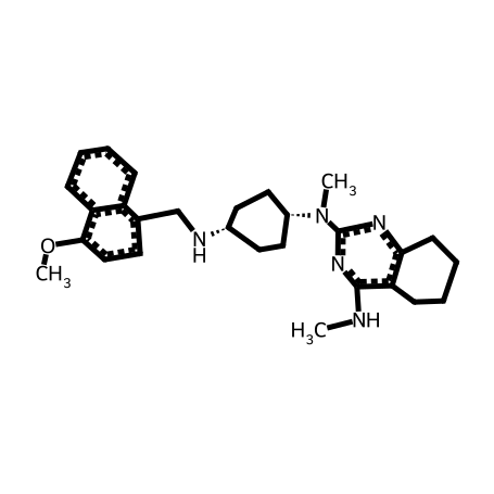 CNc1nc(N(C)[C@H]2CC[C@@H](NCc3ccc(OC)c4ccccc34)CC2)nc2c1CCCC2